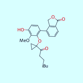 CCC(C)CCC(=O)C1(Oc2c(-c3cccc4c3COC4=O)ccc(O)c2OC)CC1